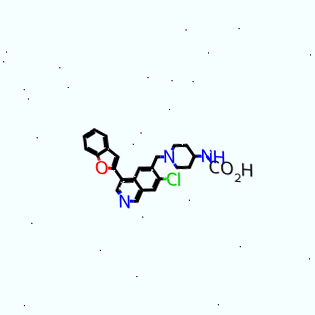 O=C(O)NC1CCN(Cc2cc3c(-c4cc5ccccc5o4)cncc3cc2Cl)CC1